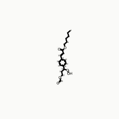 CCCCCCOC(=O)C=Cc1ccc(C(CCOC=O)OO)cc1